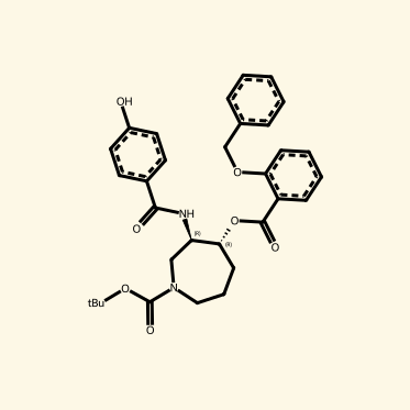 CC(C)(C)OC(=O)N1CCC[C@@H](OC(=O)c2ccccc2OCc2ccccc2)[C@H](NC(=O)c2ccc(O)cc2)C1